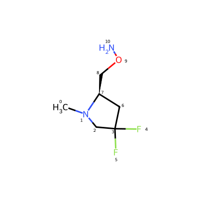 CN1CC(F)(F)C[C@@H]1CON